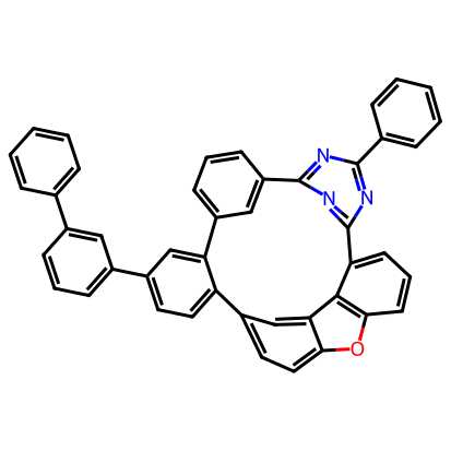 c1ccc(-c2cccc(-c3ccc4c5ccc6oc7cccc(c8nc(-c9ccccc9)nc(n8)c8cccc(c8)c4c3)c7c6c5)c2)cc1